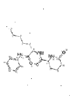 [CH2]CCCC[C@H](NC(=O)[C@@H]1CCCC(=O)N1)C(=O)Nc1ccccc1